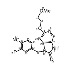 COCCOc1ncc2[nH]c(=O)n(Cc3ccc(C#N)c(F)c3)c2n1